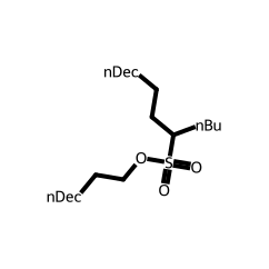 CCCCCCCCCCCCOS(=O)(=O)C(CCCC)CCCCCCCCCCCC